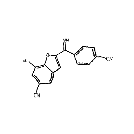 N#Cc1ccc(C(=N)c2cc3cc(C#N)cc(Br)c3o2)cc1